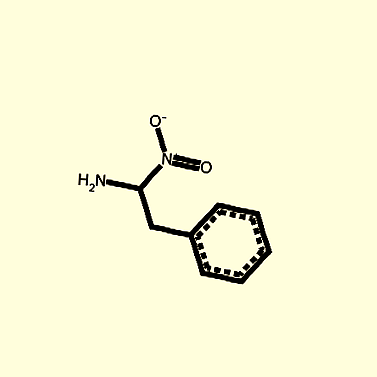 NC(Cc1ccccc1)[N+](=O)[O-]